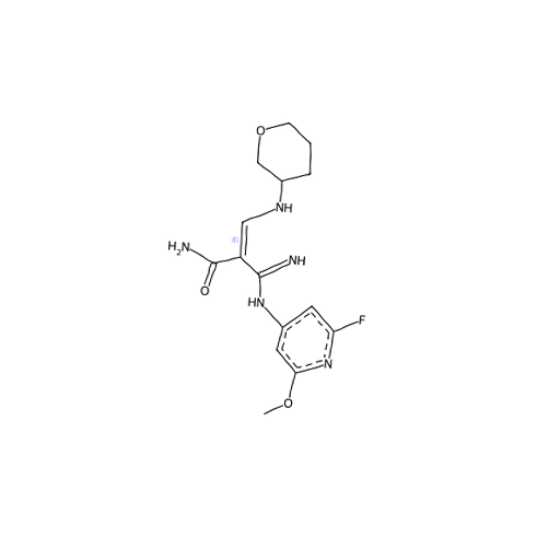 COc1cc(NC(=N)/C(=C\NC2CCCOC2)C(N)=O)cc(F)n1